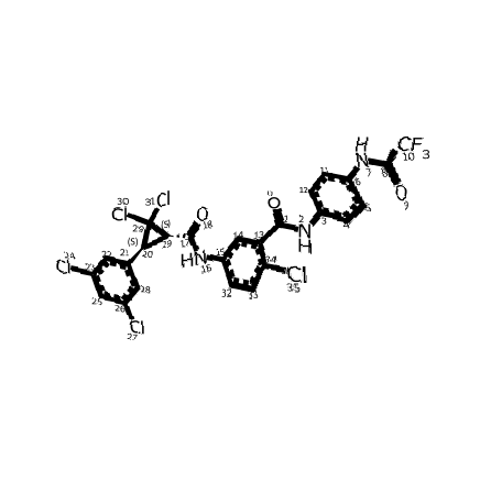 O=C(Nc1ccc(NC(=O)C(F)(F)F)cc1)c1cc(NC(=O)[C@@H]2[C@@H](c3cc(Cl)cc(Cl)c3)C2(Cl)Cl)ccc1Cl